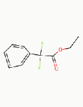 CCOC(=O)C(F)(F)c1ccccc1